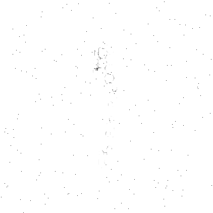 C=CC(=O)OCCOCCOCCOCCOc1ccc(-c2cc3cccnc3oc2=O)cc1